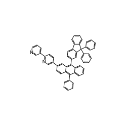 c1ccc(-c2c3ccccc3c(-c3ccc4c(c3)C(c3ccccc3)(c3ccccc3)c3ccccc3-4)c3cc(-c4ccc(-c5cccnc5)nc4)ccc23)cc1